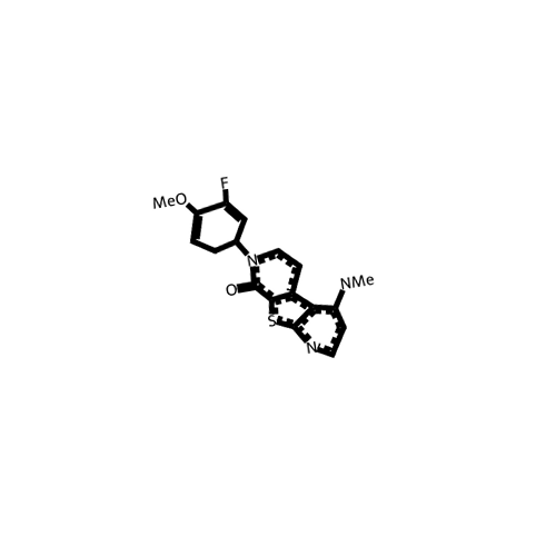 CNc1ccnc2sc3c(=O)n(C4C=C(F)C(OC)=CC4)ccc3c12